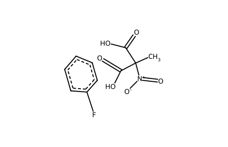 CC(C(=O)O)(C(=O)O)[N+](=O)[O-].Fc1ccccc1